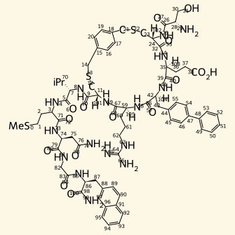 CSCCC(NC(=O)[C@@H](NC(=O)[C@@H]1CSCc2ccc(cc2)CSC[C@H](NC(=O)[C@@H](N)CO)C(=O)N[C@@H](CCC(=O)O)C(=O)N[C@@H](Cc2ccc(-c3ccccc3)cc2)C(=O)N[C@@H](CCCNC(=N)N)C(=O)N1)C(C)C)C(=O)N[C@@H](CC(N)=O)C(=O)NCC(=O)N[C@@H](Cc1ccc2ccccc2c1)C(N)=O